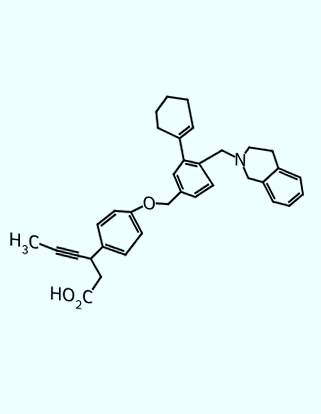 CC#CC(CC(=O)O)c1ccc(OCc2ccc(CN3CCc4ccccc4C3)c(C3=CCCCC3)c2)cc1